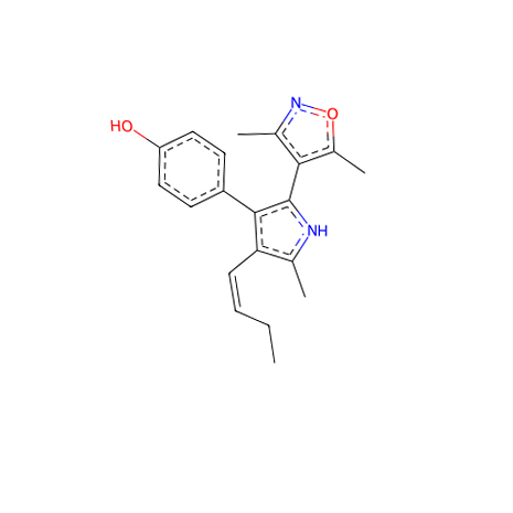 CC/C=C\c1c(C)[nH]c(-c2c(C)noc2C)c1-c1ccc(O)cc1